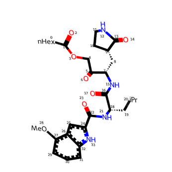 CCCCCCC(=O)OCC(=O)[C@H](C[C@@H]1CCNC1=O)NC(=O)[C@H](CC(C)C)NC(=O)c1cc2c(OC)cccc2[nH]1